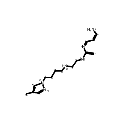 C=C(/N=C\C=C/N)NCCNCCCCn1cc(C)cn1